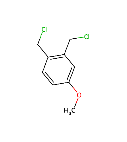 COc1ccc(CCl)c(CCl)c1